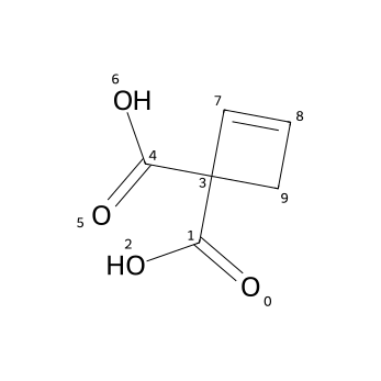 O=C(O)C1(C(=O)O)C=CC1